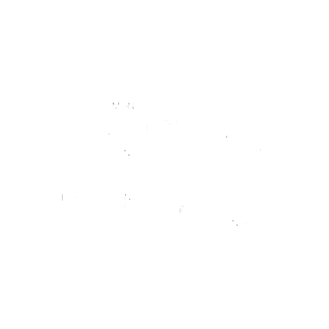 CNC(=S)[N+]1(C)C(CO)=NC(C(C)C)=C1Sc1cccc([N+](=O)[O-])c1